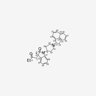 CCC(=O)C[C@]1(C)C(=O)N(C2CCN(C3Cc4cccc5cccc3c45)CC2)c2ccccc21